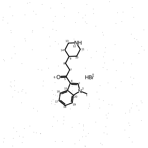 Br.Cn1cc(C(=O)CCC2CCNCC2)c2ccccc21